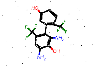 Nc1cc(C(F)(F)F)c(-c2cc(O)ccc2C(F)(F)F)c(N)c1O